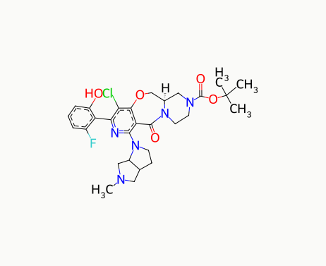 CN1CC2CCN(c3nc(-c4c(O)cccc4F)c(Cl)c4c3C(=O)N3CCN(C(=O)OC(C)(C)C)C[C@@H]3CO4)C2C1